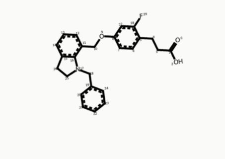 O=C(O)CCc1ccc(OCc2cccc3c2N(Cc2ccccc2)CC3)cc1F